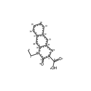 CCn1c(=O)c(C(=O)O)nc2cc3ccccc3cc21